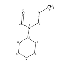 CCCN([C]=O)C1CCCCC1